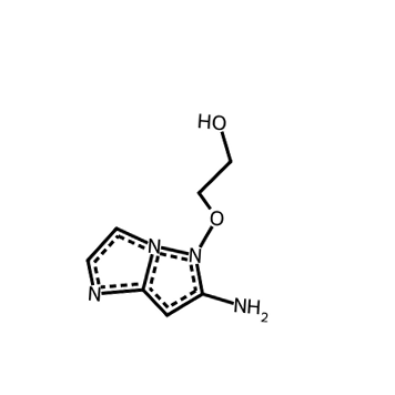 Nc1cc2nccn2n1OCCO